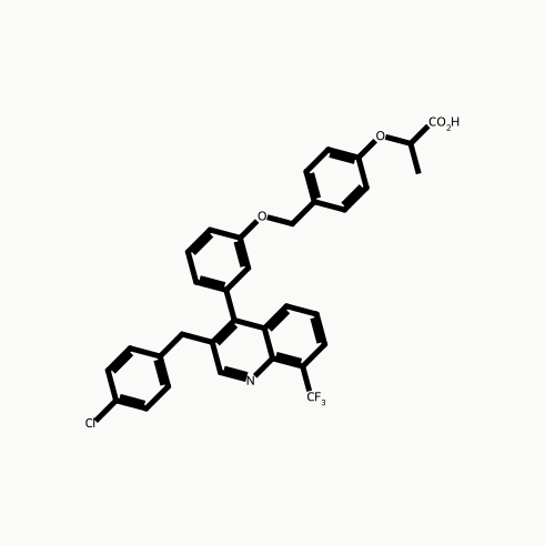 CC(Oc1ccc(COc2cccc(-c3c(Cc4ccc(Cl)cc4)cnc4c(C(F)(F)F)cccc34)c2)cc1)C(=O)O